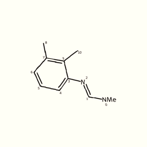 CNC=Nc1cccc(C)c1C